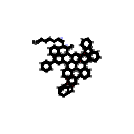 C=CC=CC/C=C\C(=C(/CC)N1c2ccc(-c3ccccc3)cc2B2c3ccc(N4C5CC6CC(C5)CC4C6)cc3N(c3c(-c4ccccc4)cccc3-c3ccccc3)c3cc(-n4c5ccccc5c5ccccc54)cc1c32)c1ccccc1